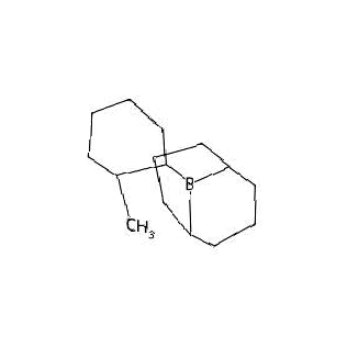 CC1CCCCC1B1C2CCCC1CCC2